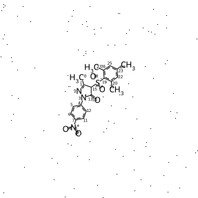 CC1=NN(c2ccc([N+](=O)[O-])cc2)C(=O)C1S(=O)(=O)c1c(C)cc(C)cc1C